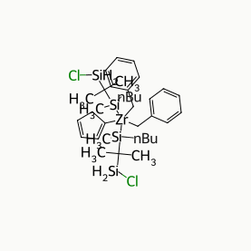 CCCC[Si](C)(C(C)(C)[SiH2]Cl)[Zr]([CH2]c1ccccc1)([CH2]c1ccccc1)([C]1=CC=CC1)[Si](C)(CCCC)C(C)(C)[SiH2]Cl